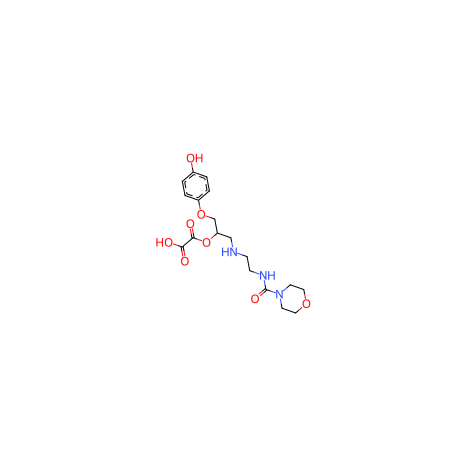 O=C(O)C(=O)OC(CNCCNC(=O)N1CCOCC1)COc1ccc(O)cc1